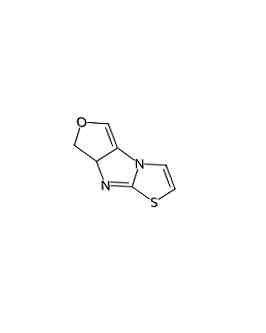 C1=CN2C3=COCC3N=C2S1